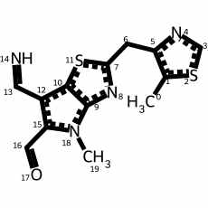 Cc1scnc1Cc1nc2c(s1)c(C=N)c(C=O)n2C